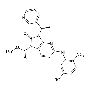 C[C@H](c1cccnc1)n1c(=O)n(C(=O)OC(C)(C)C)c2ccc(Nc3cc(C#N)ccc3[N+](=O)[O-])nc21